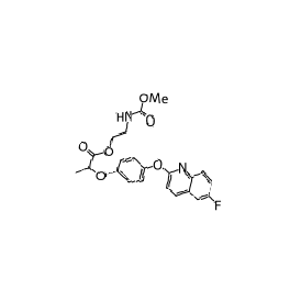 COC(=O)NCCOC(=O)C(C)Oc1ccc(Oc2ccc3cc(F)ccc3n2)cc1